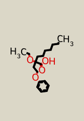 CCCCCCCC(CCOc1ccccc1)(OCC)C(=O)O